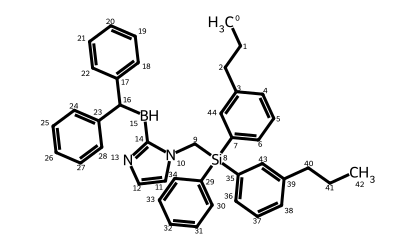 CCCc1cccc([Si](Cn2ccnc2BC(c2ccccc2)c2ccccc2)(c2ccccc2)c2cccc(CCC)c2)c1